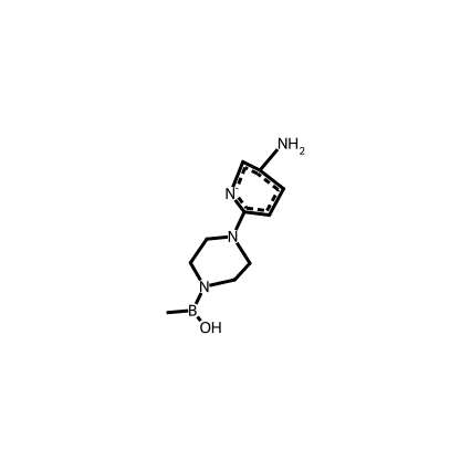 CB(O)N1CCN(c2ccc(N)cn2)CC1